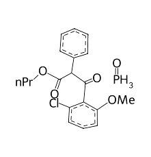 CCCOC(=O)C(C(=O)c1c(Cl)cccc1OC)c1ccccc1.O=[PH3]